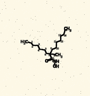 CCCCCCCC(C)(CCCCCCC)C(=O)NO